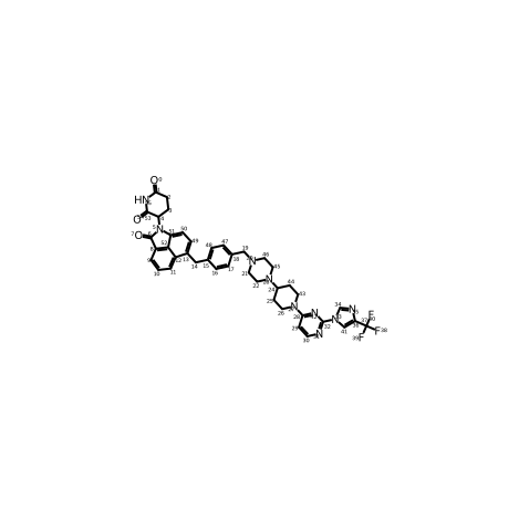 O=C1CCC(N2C(=O)c3cccc4c(Cc5ccc(CN6CCN(C7CCN(c8ccnc(-n9cnc(C(F)(F)F)c9)n8)CC7)CC6)cc5)ccc2c34)C(=O)N1